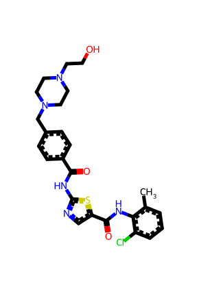 Cc1cccc(Cl)c1NC(=O)c1cnc(NC(=O)c2ccc(CN3CCN(CCO)CC3)cc2)s1